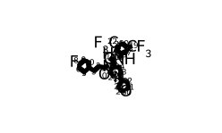 O=C(C=Cc1ccc(F)cc1)NC1(C(=O)Nc2cc(C(F)(F)F)cc(C(F)(F)F)c2)CCN(C2CCOCC2)CC1